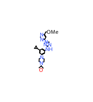 COCc1cc(-n2cnc(Nc3cc(C4CC4)cc(N4CCN(C5COC5)CC4)c3)n2)ncn1